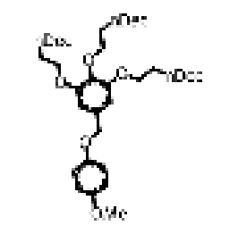 CCCCCCCCCCCCOc1cc(COc2[c]cc(OC)[c]c2)cc(OCCCCCCCCCCCC)c1OCCCCCCCCCCCC